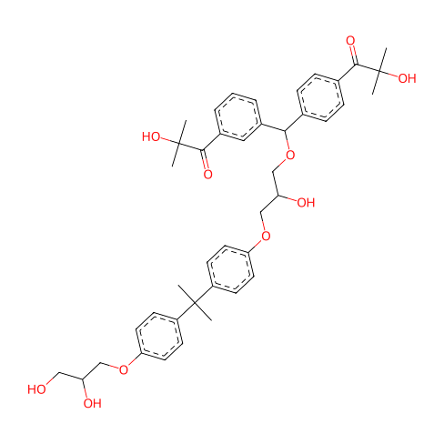 CC(C)(O)C(=O)c1ccc(C(OCC(O)COc2ccc(C(C)(C)c3ccc(OCC(O)CO)cc3)cc2)c2cccc(C(=O)C(C)(C)O)c2)cc1